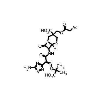 CC(=O)CC(=O)OCC1(C(=O)O)CS[C@@H]2C(NC(=O)C(=NOC(C)(C)C(=O)O)c3nsc(N)n3)C(=O)N2C1